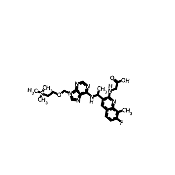 Cc1c(F)ccc2cc(C(C)Nc3ncnc4c3ncn4COCC[Si](C)(C)C)c(NCC(=O)O)nc12